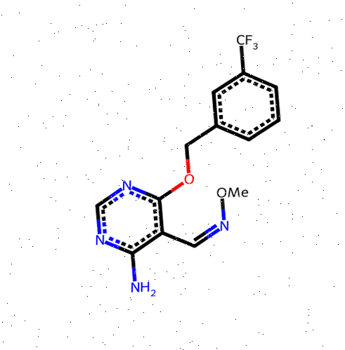 CO/N=C\c1c(N)ncnc1OCc1cccc(C(F)(F)F)c1